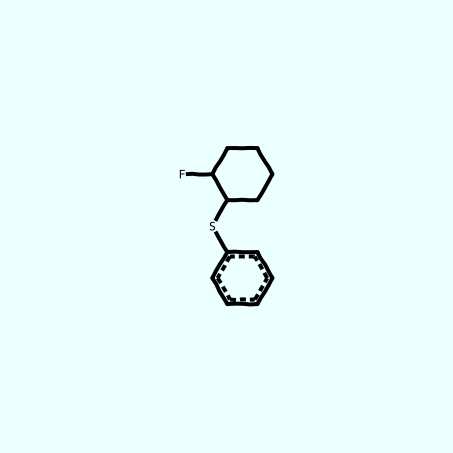 FC1CCCCC1Sc1ccccc1